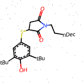 CCCCCCCCCCCCN1C(=O)CC(Sc2cc(C(C)(C)C)c(O)c(C(C)(C)C)c2)C1=O